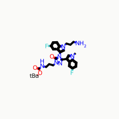 Cn1cc(-c2nn(CCCNC(=O)OC(C)(C)C)c(=O)n2-c2cn(CCCN)c3ccc(F)cc23)c2cc(F)ccc21